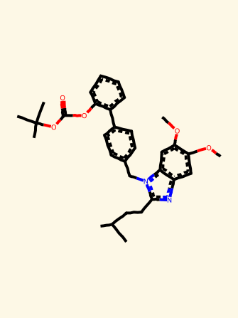 COc1cc2nc(CCC(C)C)n(Cc3ccc(-c4ccccc4OC(=O)OC(C)(C)C)cc3)c2cc1OC